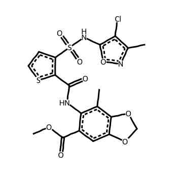 COC(=O)c1cc2c(c(C)c1NC(=O)c1sccc1S(=O)(=O)Nc1onc(C)c1Cl)OCO2